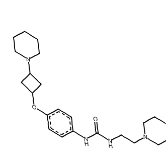 O=C(NCCN1CCSCC1)Nc1ccc(OC2CC(N3CCCCC3)C2)cc1